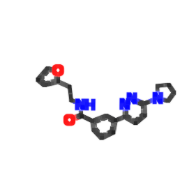 O=C(NCCc1ccco1)c1cccc(-c2ccc(N3CCCC3)nn2)c1